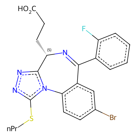 CCCSc1nnc2n1-c1ccc(Br)cc1C(c1ccccc1F)=N[C@H]2CCC(=O)O